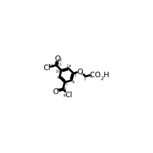 O=C(O)COc1cc(C(=O)Cl)cc(C(=O)Cl)c1